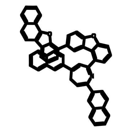 C1=C(c2ccc3ccccc3c2)CC=C(c2ccc3ccccc3c2)N=C1c1cccc2oc3ccc(-c4cccc5c4oc4c6ccccc6ccc54)cc3c12